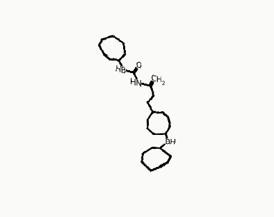 C=C(CCC1CCCC(BC2CCCCCCC2)CCC1)NC(=O)BC1CCCCCCC1